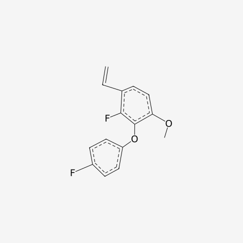 C=Cc1ccc(OC)c(Oc2ccc(F)cc2)c1F